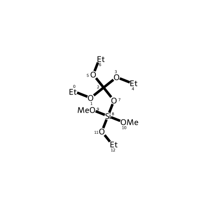 CCOC(OCC)(OCC)O[Si](OC)(OC)OCC